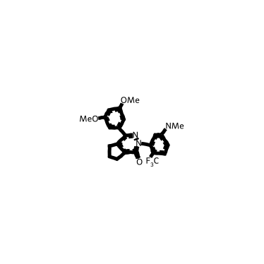 CNc1ccc(C(F)(F)F)c(-n2nc(-c3cc(OC)cc(OC)c3)c3c(c2=O)CCC3)c1